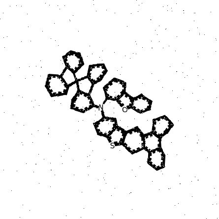 c1ccc2c(c1)-c1ccccc1C21c2ccccc2-c2c(N(c3ccc4sc5cc6c7ccccc7c7ccccc7c6cc5c4c3)c3cccc4c3oc3ccccc34)cccc21